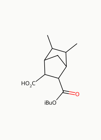 CC(C)COC(=O)C1C2CC(C(C)C2C)C1C(=O)O